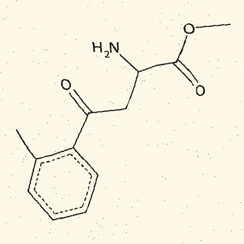 COC(=O)C(N)CC(=O)c1ccccc1C